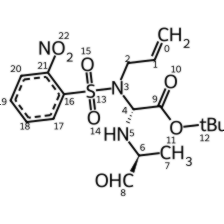 C=CCN([C@@H](N[C@@H](C)C=O)C(=O)OC(C)(C)C)S(=O)(=O)c1ccccc1[N+](=O)[O-]